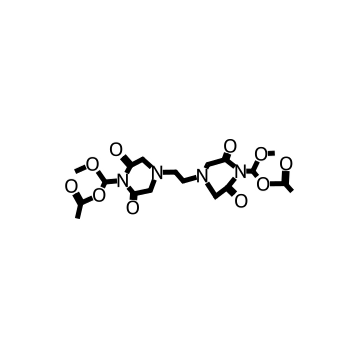 COC(OC(C)=O)N1C(=O)CN(CCN2CC(=O)N(C(OC)OC(C)=O)C(=O)C2)CC1=O